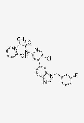 CC(C(=O)Nc1cc(-c2ccc3ncn(Cc4cccc(F)c4)c3c2)c(Cl)cn1)n1ccccc1=O